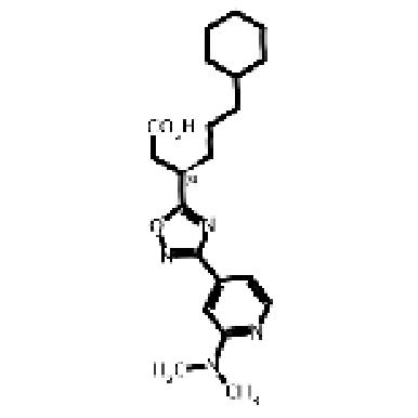 CN(C)c1cc(-c2noc([C@H](CCCC3CCCCC3)CC(=O)O)n2)ccn1